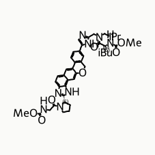 CC[C@H](C)[C@H](NC(=O)OC)C(=O)N(Cc1ncc(-c2ccc3c(c2)COc2cc4c(ccc5nc([C@@H]6CCCN6C(=O)CNC(=O)OC)[nH]c54)cc2-3)[nH]1)CC(C)C